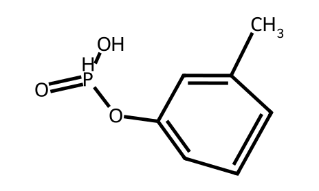 Cc1cccc(O[PH](=O)O)c1